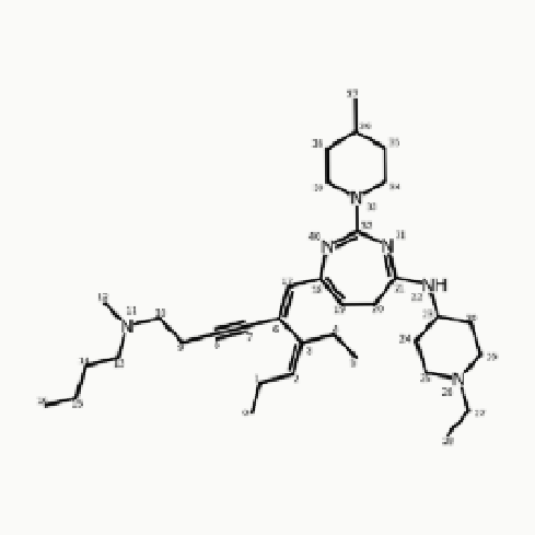 CC/C=C(CC)\C(C#CCCN(C)CCCC)=C/C1=CCC(NC2CCN(CC)CC2)=NC(N2CCC(C)CC2)=N1